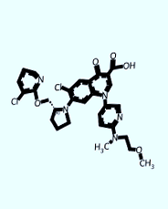 COCCN(C)c1ccc(-n2cc(C(=O)O)c(=O)c3cc(Cl)c(N4CCC[C@@H]4COc4ncccc4Cl)cc32)cn1